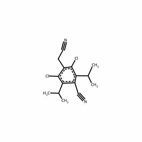 CC(C)c1c(Cl)c(CC#N)c(Cl)c(C(C)C)c1C#N